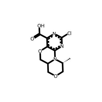 C[C@@H]1COCC2COc3c(C(=O)O)nc(Cl)nc3N21